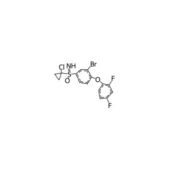 N=S(=O)(c1ccc(Oc2ccc(F)cc2F)c(Br)c1)C1(Cl)CC1